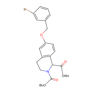 COC(=O)C1c2ccc(OCc3cccc(Br)c3)cc2CCN1C(=O)OCC(C)C